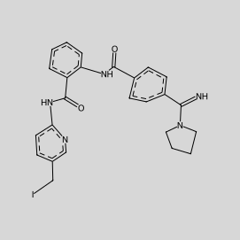 N=C(c1ccc(C(=O)Nc2ccccc2C(=O)Nc2ccc(CI)cn2)cc1)N1CCCC1